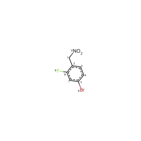 O=[N+]([O-])Cc1ccc(Br)cc1F